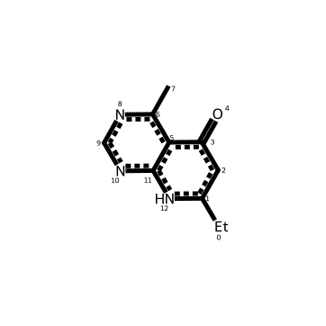 CCc1cc(=O)c2c(C)ncnc2[nH]1